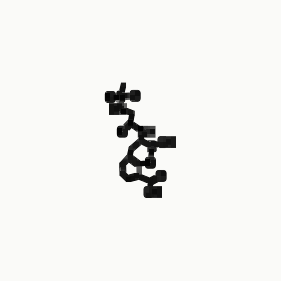 CS(=O)(=O)NCC(=O)NC1Cc2cccc(C(=O)O)c2OB1O